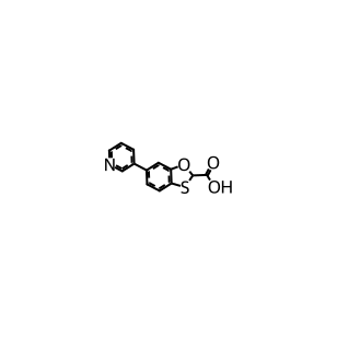 O=C(O)C1Oc2cc(-c3cccnc3)ccc2S1